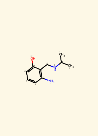 CC(C)NCc1c(N)cccc1O